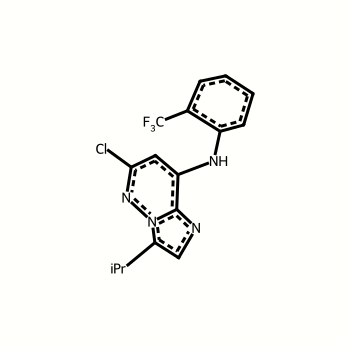 CC(C)c1cnc2c(Nc3ccccc3C(F)(F)F)cc(Cl)nn12